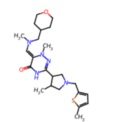 Cc1ccc(CN2CC(C)C(C3=NN(C)/C(=C\N(C)CC4CCOCC4)C(=O)N3)C2)s1